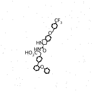 O=C(O)[C@H](Cc1ccc(-c2ccccc2Oc2ccccc2)cc1)NC(=O)[C@@H]1Cc2ccc(OCc3ccc(C(F)(F)F)cc3)cc2CN1